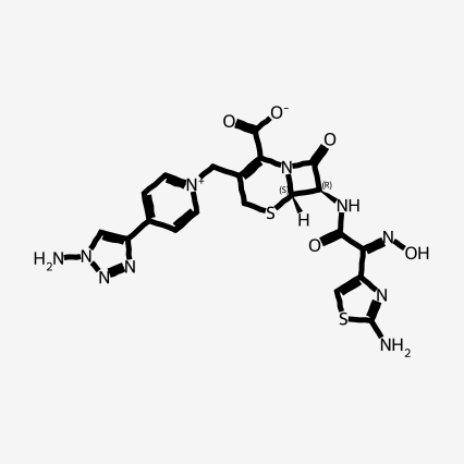 Nc1nc(C(=NO)C(=O)N[C@@H]2C(=O)N3C(C(=O)[O-])=C(C[n+]4ccc(-c5cn(N)nn5)cc4)CS[C@@H]23)cs1